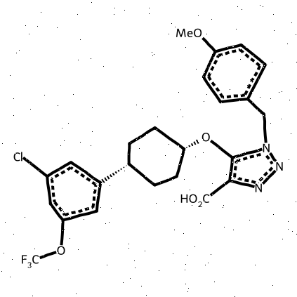 COc1ccc(Cn2nnc(C(=O)O)c2O[C@H]2CC[C@@H](c3cc(Cl)cc(OC(F)(F)F)c3)CC2)cc1